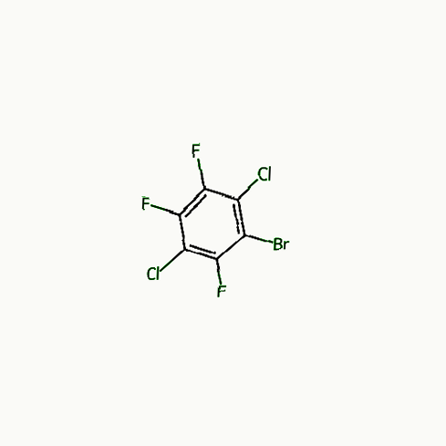 Fc1c(F)c(Cl)c(Br)c(F)c1Cl